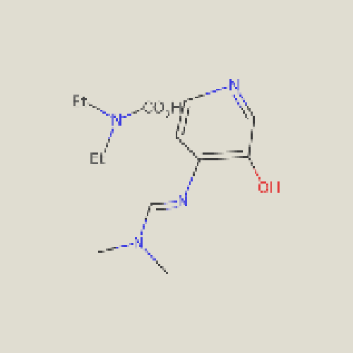 CCN(CC)C(=O)O.CN(C)/C=N/c1ccncc1O